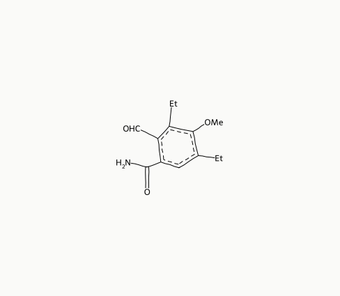 CCc1cc(C(N)=O)c(C=O)c(CC)c1OC